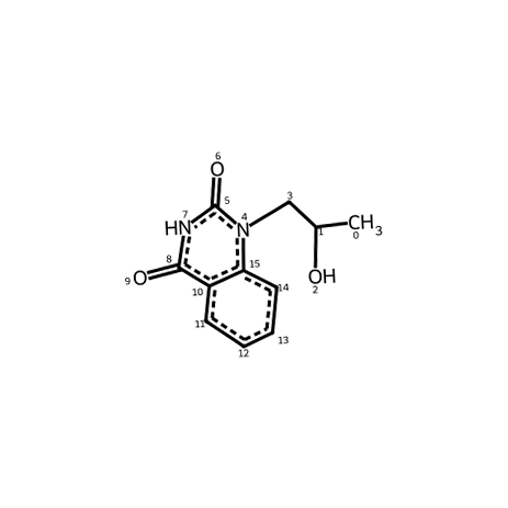 CC(O)Cn1c(=O)[nH]c(=O)c2ccccc21